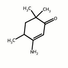 CC1CC(C)(C)C(=O)C=C1N